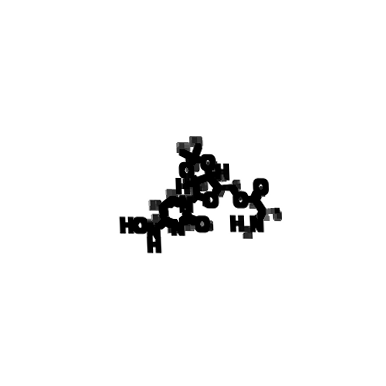 C[C@H](N)C(=O)OC[C@H]1O[C@@H](n2ccc(NO)nc2=O)[C@@H]2OC(C)(C)O[C@@H]21